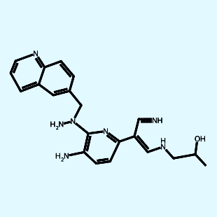 CC(O)CN/C=C(\C=N)c1ccc(N)c(N(N)Cc2ccc3ncccc3c2)n1